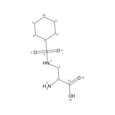 NC(CNS(=O)(=O)C1CCCCC1)C(=O)O